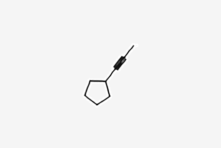 [CH2]C#CC1CCCC1